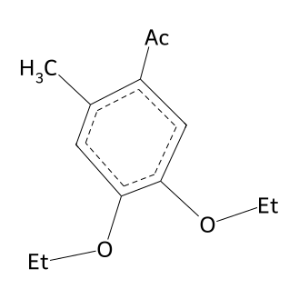 CCOc1cc(C)c(C(C)=O)cc1OCC